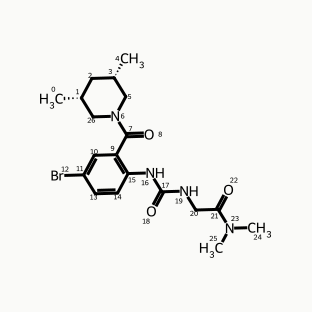 C[C@@H]1C[C@H](C)CN(C(=O)c2cc(Br)ccc2NC(=O)NCC(=O)N(C)C)C1